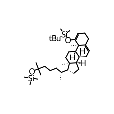 C[C@H](CCCC(C)(C)O[Si](C)(C)C)[C@H]1CC[C@H]2[C@@H]3CC=C4CCC=C(O[Si](C)(C)C(C)(C)C)[C@]4(C)[C@H]3CC[C@]12C